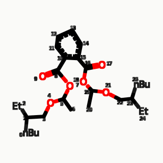 CCCCC(CC)COC(C)OC(=O)c1ccccc1C(=O)OC(C)OCC(CC)CCCC